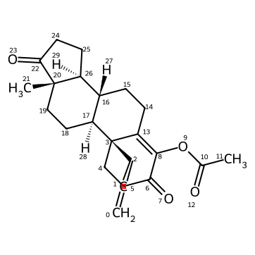 C=C=C[C@]12CCC(=O)C(OC(C)=O)=C1CC[C@@H]1[C@@H]2CC[C@]2(C)C(=O)CC[C@@H]12